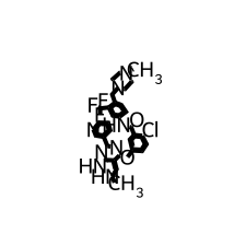 CN/C=C1\C(=N)N=C(c2cccnc2)N=C1Oc1ccc(Cl)c(C(=O)Nc2ccc(CN3CCN(C)CC3)c(C(F)(F)F)c2)c1